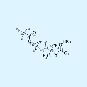 CC(C)(C)OC(=O)OC(C1CC2CC1CC2OC(=O)C(C)(C)F)(C(F)(F)F)C(F)(F)F